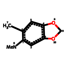 CNc1cc2c(cc1C)OCO2